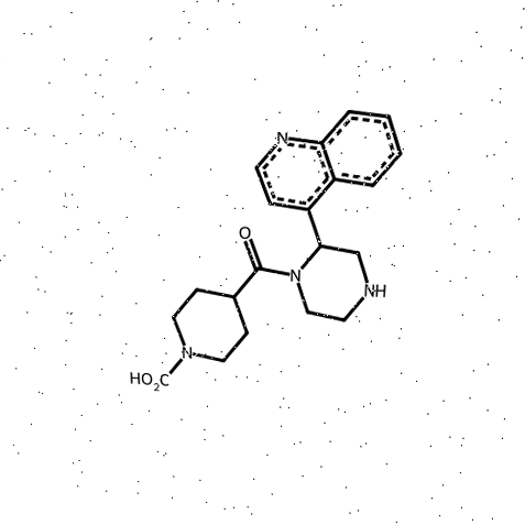 O=C(O)N1CCC(C(=O)N2CCNCC2c2ccnc3ccccc23)CC1